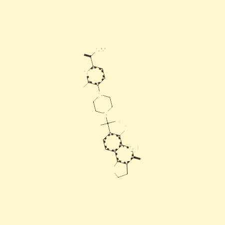 BC(B)(c1ccc2c3c(c(=O)[nH]c2c1F)CCO3)N1CCN(c2ccc(C(=O)NC)nc2F)CC1